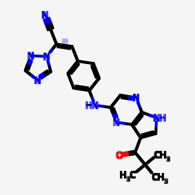 CC(C)(C)C(=O)c1c[nH]c2ncc(Nc3ccc(/C=C(/C#N)n4cncn4)cc3)nc12